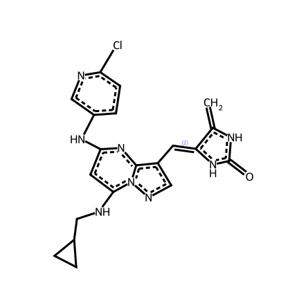 C=c1[nH]c(=O)[nH]/c1=C\c1cnn2c(NCC3CC3)cc(Nc3ccc(Cl)nc3)nc12